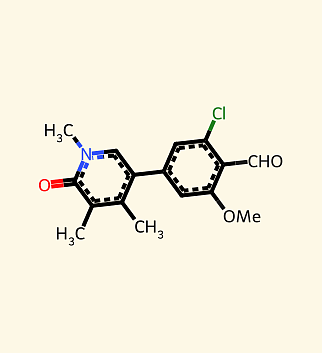 COc1cc(-c2cn(C)c(=O)c(C)c2C)cc(Cl)c1C=O